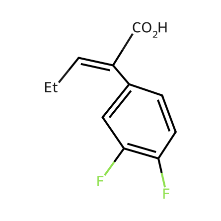 CC/C=C(/C(=O)O)c1ccc(F)c(F)c1